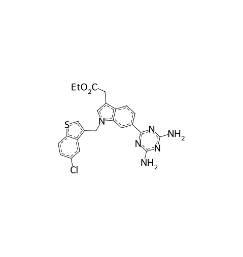 CCOC(=O)Cc1cn(Cc2csc3ccc(Cl)cc23)c2cc(-c3nc(N)nc(N)n3)ccc12